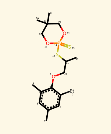 CCc1cc(C)cc(C)c1OCC(C)SP1(=S)OCC(C)(C)CO1